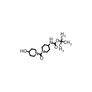 CC(C)(C)OC(=O)NC1CCN(C(=O)N2CCC(O)CC2)CC1